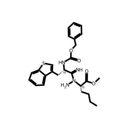 CCCC[C@@H](C(=O)OC)N(N)C(=N)[C@H](Cc1csc2ccccc12)NC(=O)OCc1ccccc1